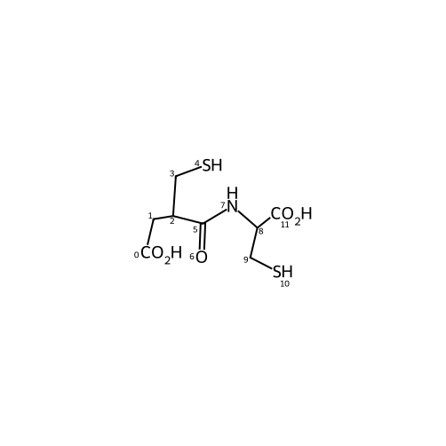 O=C(O)CC(CS)C(=O)NC(CS)C(=O)O